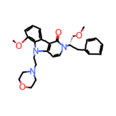 COC[C@H](Cc1ccccc1)n1ccc2c(c1=O)c1cccc(OC)c1n2CCN1CCOCC1